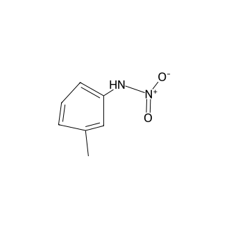 Cc1cccc(N[N+](=O)[O-])c1